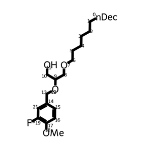 CCCCCCCCCCCCCCCCOCC(CO)OCc1ccc(OC)c(F)c1